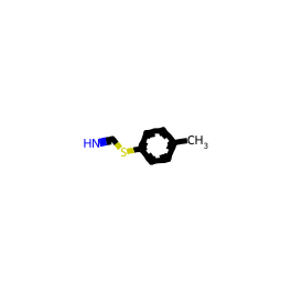 Cc1ccc(SC=N)cc1